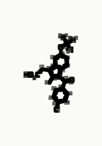 [2H]C([2H])([2H])Oc1ccc2c(c1)c(CC(=O)O)c(C)n2C(=O)c1ccc(Cl)cc1